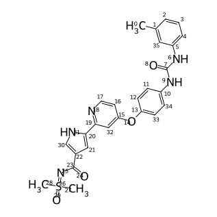 Cc1cccc(NC(=O)Nc2ccc(Oc3ccnc(-c4cc(C(=O)N=S(C)(C)=O)c[nH]4)c3)cc2)c1